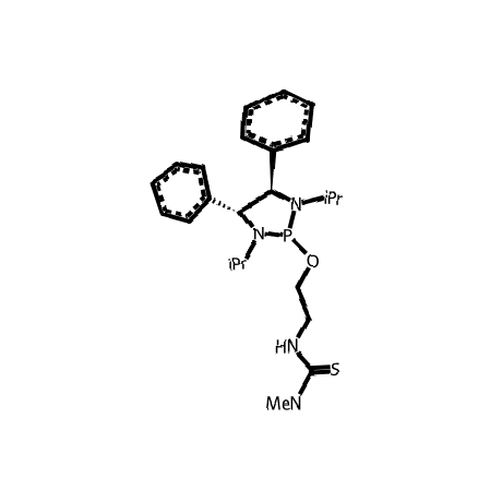 CNC(=S)NCCOP1N(C(C)C)[C@H](c2ccccc2)[C@@H](c2ccccc2)N1C(C)C